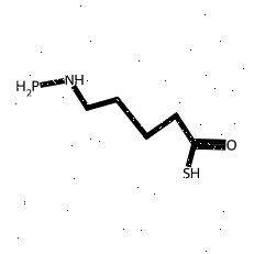 O=C(S)CCCCNP